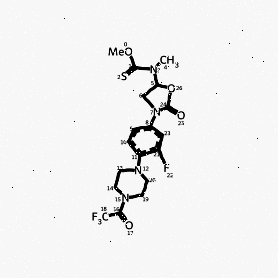 COC(=S)N(C)C1CN(c2ccc(N3CCN(C(=O)C(F)(F)F)CC3)c(F)c2)C(=O)O1